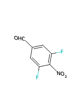 O=Cc1cc(F)c([N+](=O)[O-])c(F)c1